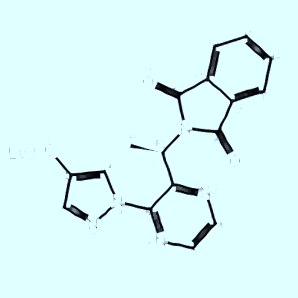 CCOC(=O)c1cnn(-c2nccnc2[C@@H](C)N2C(=O)c3ccccc3C2=O)c1